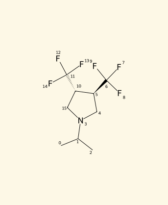 CC(C)N1C[C@H](C(F)(F)F)[C@@H](C(F)(F)F)C1